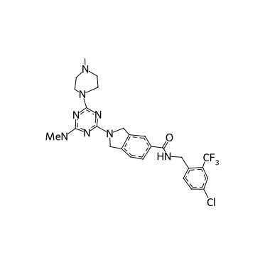 CNc1nc(N2CCN(C)CC2)nc(N2Cc3ccc(C(=O)NCc4ccc(Cl)cc4C(F)(F)F)cc3C2)n1